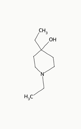 CCN1CCC(O)(CC)CC1